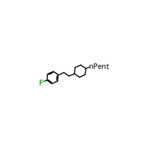 CCCCCC1CCC(CCc2ccc(F)cc2)CC1